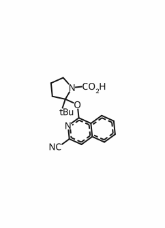 CC(C)(C)C1(Oc2nc(C#N)cc3ccccc23)CCCN1C(=O)O